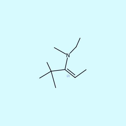 C/C=C(\N(C)CC)C(C)(C)C